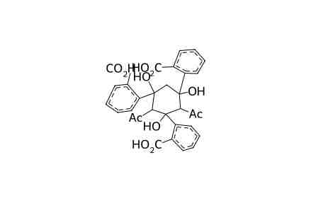 CC(=O)C1C(O)(c2ccccc2C(=O)O)CC(O)(c2ccccc2C(=O)O)C(C(C)=O)C1(O)c1ccccc1C(=O)O